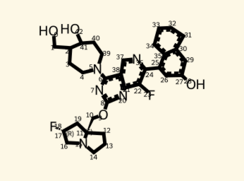 OCC1CCN(c2nc(OC[C@@]34CCCN3C[C@H](F)C4)nc3c(F)c(-c4cc(O)cc5ccccc45)ncc23)CCC1O